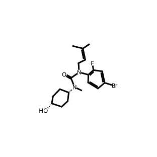 CC(C)=CCN(C(=O)N(C)[C@H]1CC[C@@H](O)CC1)c1ccc(Br)cc1F